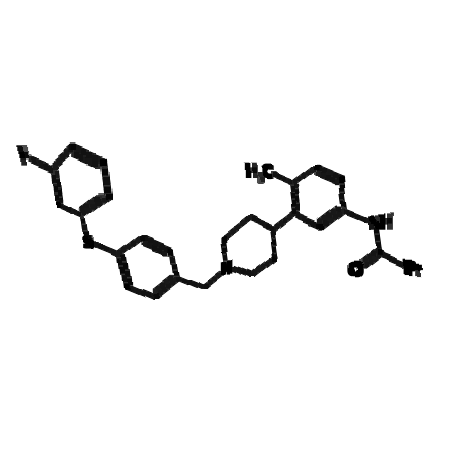 Cc1ccc(NC(=O)C(C)C)cc1C1CCN(Cc2ccc(Sc3cccc(F)c3)cc2)CC1